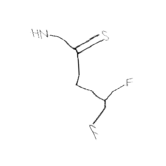 [NH]C(=S)CC(F)F